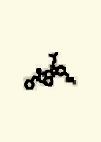 CC(C)CCn1c(CN2C(=O)N(CC3CCCCC3)Cc3ccccc32)nc2cc(CN)ccc21